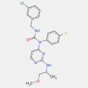 COCC(C)Nc1nccc(N(C(=O)NCc2cccc(Cl)c2)c2ccc(F)cc2)n1